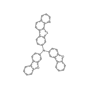 c1cnc2c(c1)ccc1c3ccc(N(c4ccc5c(c4)oc4ccccc45)c4ccc5oc6ccccc6c5c4)cc3sc12